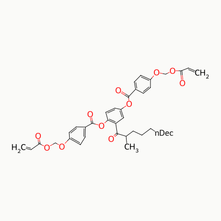 C=CC(=O)OCOc1ccc(C(=O)Oc2ccc(OC(=O)c3ccc(OCOC(=O)C=C)cc3)c(C(=O)C(C)CCCCCCCCCCCCC)c2)cc1